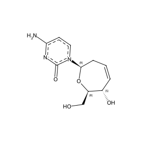 Nc1ccn([C@H]2CC=C[C@H](O)[C@@H](CO)O2)c(=O)n1